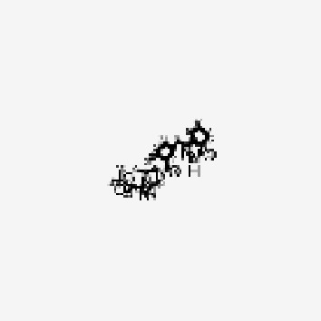 CC1CN(C(=O)c2cc(Cc3n[nH]c(=O)c4ccccc34)ccc2F)Cc2nnc(C3COC(C)(C)O3)n21